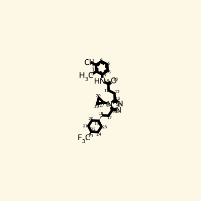 Cc1c(Cl)cccc1NC(=O)CCc1nnc(CC[C@H]2CC[C@H](C(F)(F)F)CC2)n1C1CC1